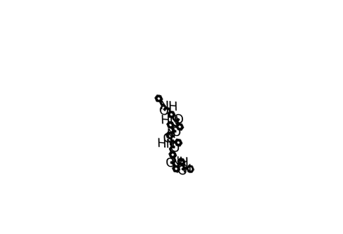 O=C(Cc1ccc(NC(=O)c2ccccc2-c2ccccc2C(=O)N2CCOC(C(NC(=O)Cc3ccc(NC(=O)c4ccccc4-c4ccccc4C(=O)N4CCCCC4)cc3)c3ccccc3)C2)cc1)NCc1ccccc1